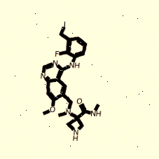 CNC(=O)C1(N(C)Cc2cc3c(Nc4cccc(CI)c4F)ncnc3cc2OC)CNC1